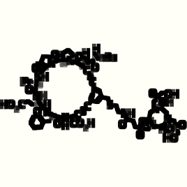 CCCCNC(=O)N[C@H]1CSCc2cc(CSCCNC(=O)CCP(=O)(O)CN3CCN(CP(=O)(O)CO)CCN(CP(=O)(O)CO)CC3)cc(c2)CSC[C@@H](C(=O)O)NC(=O)[C@H](Cc2ccccc2)NC(=O)[C@H](CCC(=O)O)NC(=O)[C@H](C(C)C)NC(=O)[C@@H]2CCCN2C(=O)[C@@H]2CCCN2C1=O